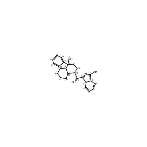 O=C(c1nc(Br)c2ncccn12)N1CCC(O)(c2ccccc2)C2CCCCC21